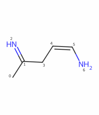 CC(=N)C/C=C\N